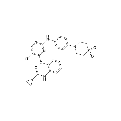 O=C(Nc1ccccc1Oc1nc(Nc2ccc(N3CCS(=O)(=O)CC3)cc2)ncc1Cl)C1CC1